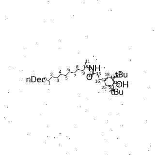 CCCCCCCCCCCCCCCCCCCC(C)NC(=O)CCc1cc(C(C)(C)C)c(O)c(C(C)(C)C)c1